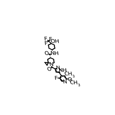 COc1ncc(F)c(-c2cc(C(=O)N3CC[C@@H](C(=O)N[C@H]4CC[C@@](O)(C(F)(F)F)CC4)CC34CC4)n[nH]2)c1C